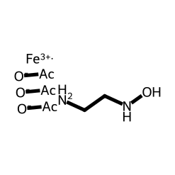 CC(=O)[O-].CC(=O)[O-].CC(=O)[O-].NCCNO.[Fe+3]